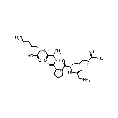 C[C@H](NC(=O)[C@@H]1CCCN1C(=O)[C@H](CCCNC(=N)N)NC(=O)CN)C(=O)N[C@@H](CCCCN)C(=O)O